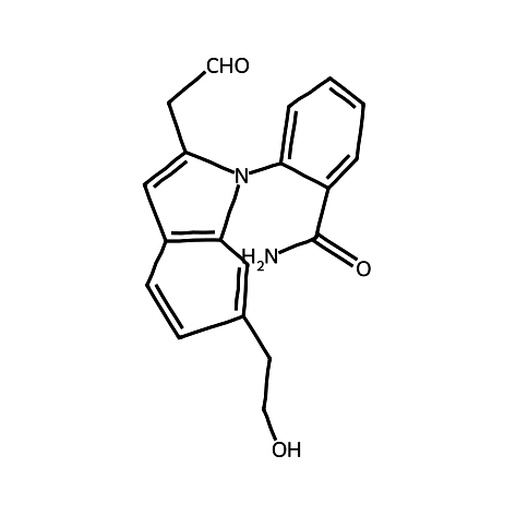 NC(=O)c1ccccc1-n1c(CC=O)cc2ccc(CCO)cc21